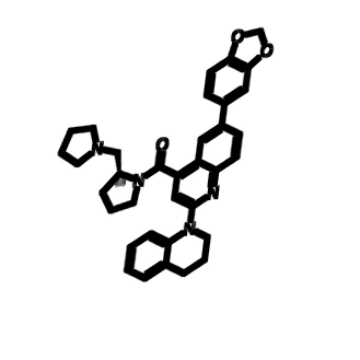 O=C(c1cc(N2CCCc3ccccc32)nc2ccc(-c3ccc4c(c3)OCO4)cc12)N1CCC[C@H]1CN1CCCC1